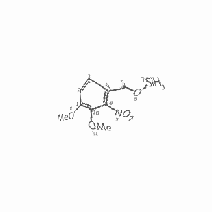 COc1ccc(CO[SiH3])c([N+](=O)[O-])c1OC